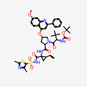 C=CC1CC1(NC(=O)C1CC(Oc2cc(-c3ccccc3)nc3cc(OC)ccc23)CN1C(=O)C(NC(=O)OC(C)(C)C)C(C)(C)C)C(=O)NS(=O)(=O)c1sc(C)nc1C